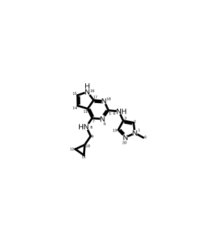 Cn1cc(Nc2nc(NCC3CC3)c3cc[nH]c3n2)cn1